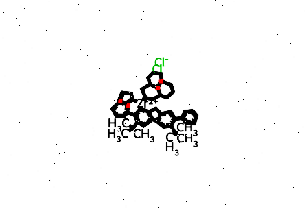 CC(C)(C)c1cc2c(cc1-c1ccccc1)Cc1c-2cc(C(C)(C)C)c(-c2ccccc2)[c]1[Zr+2]([C]1=CC=CC1)=[C](CC1CCCCC1)CC1CCCCC1.[Cl-].[Cl-]